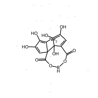 NC1=C(O)C(O)=CC12C(=O)OBOC(=O)C1=CC(O)=C(O)C12O